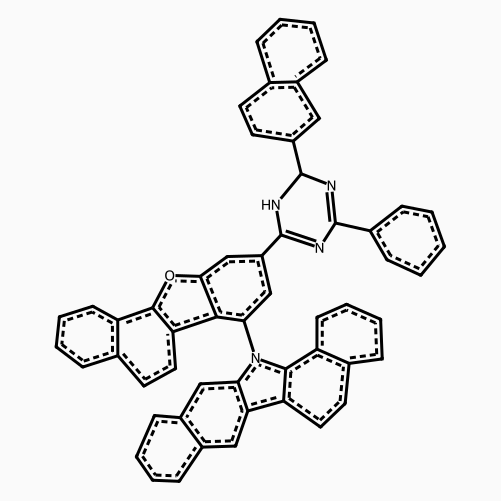 c1ccc(C2=NC(c3ccc4ccccc4c3)NC(c3cc(-n4c5cc6ccccc6cc5c5ccc6ccccc6c54)c4c(c3)oc3c5ccccc5ccc34)=N2)cc1